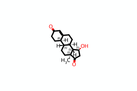 C[C@]12CC[C@H]3[C@@H](CCC4=CC(=O)CC[C@@H]43)[C@@H]1[C@@H](O)CC2=O